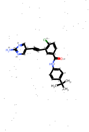 CC(C)(C)c1ccc(NC(=O)c2ccc(Cl)c(C#Cc3cnc(N)nc3)c2)cc1